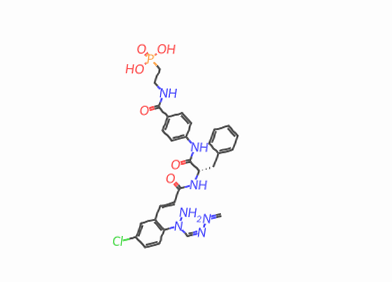 C=N/N=C\N(N)c1ccc(Cl)cc1/C=C/C(=O)N[C@@H](Cc1ccccc1)C(=O)Nc1ccc(C(=O)NCCP(=O)(O)O)cc1